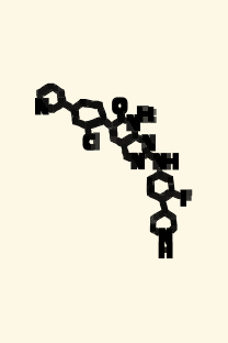 CCn1c(=O)c(-c2ccc(-c3cccnc3)cc2Cl)cc2cnc(Nc3ccc(C4CCNCC4)c(F)c3)nc21